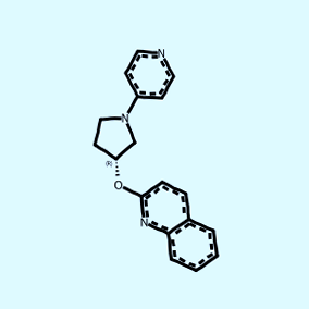 c1ccc2nc(O[C@@H]3CCN(c4ccncc4)C3)ccc2c1